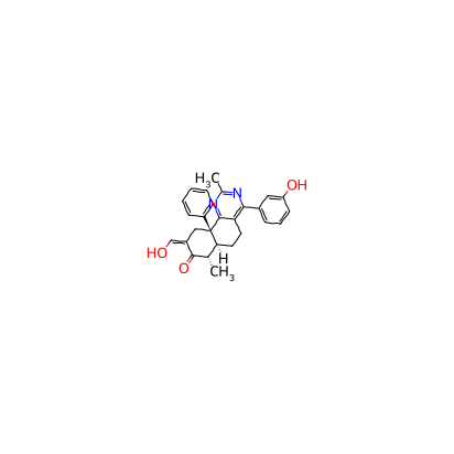 Cc1nc(-c2cccc(O)c2)c2c(n1)[C@@]1(c3ccccc3)C/C(=C/O)C(=O)[C@@H](C)[C@@H]1CC2